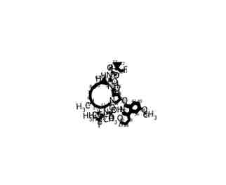 CC[C@@H]1C[C@@H](C)CCC=C[C@@H]2C[C@@]2(C(=O)NS(=O)(=O)C2(CF)CC2)NC(=O)[C@@H]2C[C@@H](Oc3nc4c(c5cc(OC)ccc35)CCCO4)CN2C(=O)[C@H]1N(C(=O)O)C(C)(C)C(F)F